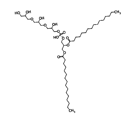 CCCCCCCCCCCCCCCC(=O)OCC(COP(=O)(O)OCC(O)COCC(O)COCC(O)CO)OC(=O)CCCCCCCCCCCCCCC